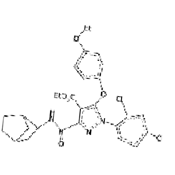 CCOC(=O)c1c(C(=O)NC2CC3CCC2C3)nn(-c2ccc(Cl)cc2Cl)c1Oc1ccc(OCC)cc1